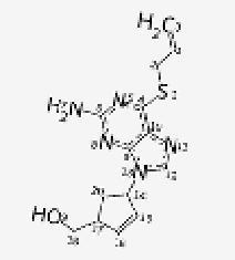 C=CCSc1nc(N)nc2c1ncn2C1C=CC(CO)C1